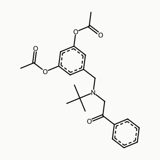 CC(=O)Oc1cc(CN(CC(=O)c2ccccc2)C(C)(C)C)cc(OC(C)=O)c1